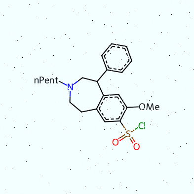 CCCCCN1CCc2cc(S(=O)(=O)Cl)c(OC)cc2C(c2ccccc2)C1